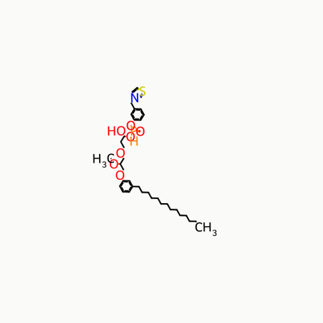 CCCCCCCCCCCCCCc1cccc(OCC(COCCC(O)O[PH](=O)Oc2cccc(C[n+]3ccsc3)c2)OC)c1